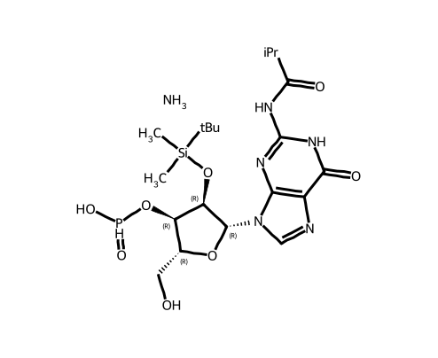 CC(C)C(=O)Nc1nc2c(ncn2[C@@H]2O[C@H](CO)[C@@H](O[PH](=O)O)[C@H]2O[Si](C)(C)C(C)(C)C)c(=O)[nH]1.N